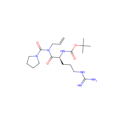 C=CCN(C(=O)[C@H](CCCNC(=N)N)NC(=O)OC(C)(C)C)C(=O)N1CCCC1